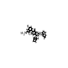 N#Cc1c(N)sc2c(F)ccc(-c3ncc4c(N5CC6CCC(C5)N6)nc(OC[C@]56CCCN5C[C@@H](F)C6)nc4c3F)c12